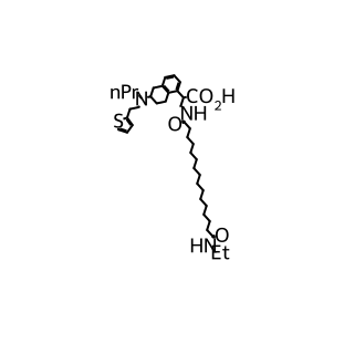 CCCN(CCc1cccs1)C1CCc2c(cccc2C(CNC(=O)CCCCCCCCCCCCCCC(=O)NCC)C(=O)O)C1